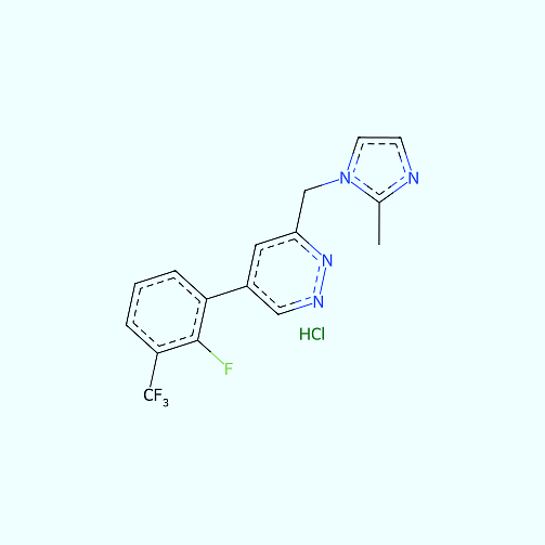 Cc1nccn1Cc1cc(-c2cccc(C(F)(F)F)c2F)cnn1.Cl